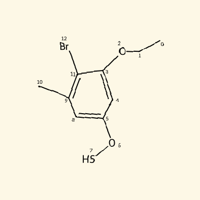 CCOc1cc(OS)cc(C)c1Br